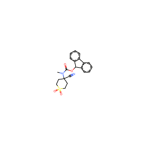 CN(C(=O)OC1c2ccccc2-c2ccccc21)C1(C#N)CCS(=O)(=O)CC1